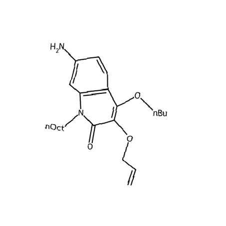 C=CCOc1c(OCCCC)c2ccc(N)cc2n(CCCCCCCC)c1=O